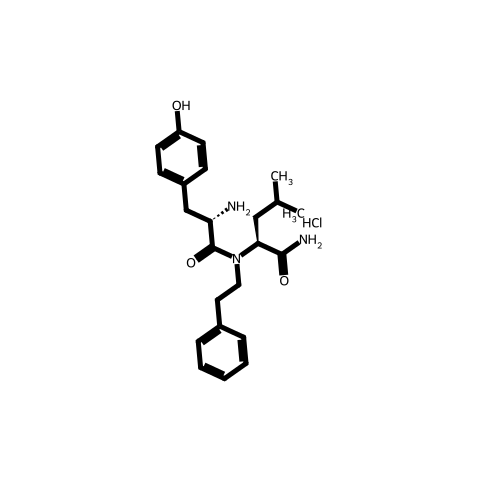 CC(C)C[C@@H](C(N)=O)N(CCc1ccccc1)C(=O)[C@@H](N)Cc1ccc(O)cc1.Cl